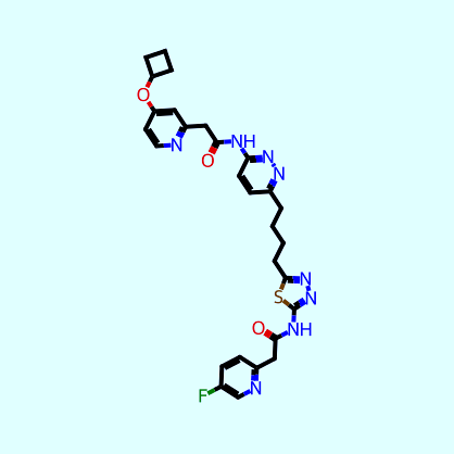 O=C(Cc1cc(OC2CCC2)ccn1)Nc1ccc(CCCCc2nnc(NC(=O)Cc3ccc(F)cn3)s2)nn1